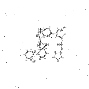 C=N/C=C(\C=C(/C)CNCC1CCCC1)c1ccc2[nH]nc(-c3nc4c(-c5ccccc5F)cccc4[nH]3)c2n1